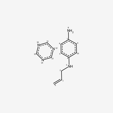 C=CCNc1ccc(N)cc1.c1ncncn1